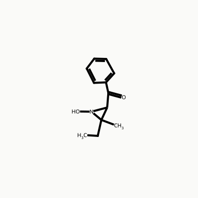 CCC1(C)C(C(=O)c2ccccc2)N1O